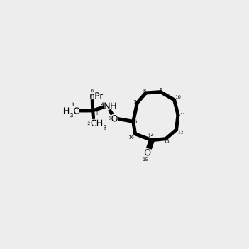 CCCC(C)(C)NOC1CCCCCCCC(=O)C1